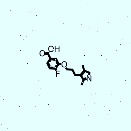 CC1=NCC(C)=C1CCCOc1cc(C(=O)O)ccc1F